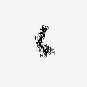 CCc1cc(Nc2nccn3c(-c4ccc(OC)c(F)c4F)cnc23)ccc1C(=O)NCCC(O)[C@@H]1O[C@H](CO)[C@H](O)[C@H](O)[C@H]1N